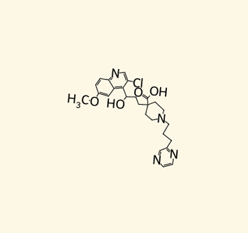 COc1ccc2ncc(Cl)c(C(O)CCC3(C(=O)O)CCN(CCCc4cnccn4)CC3)c2c1